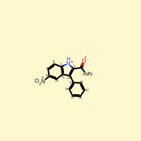 CCCC(=O)c1[nH]c2ccc([N+](=O)[O-])cc2c1-c1ccccc1